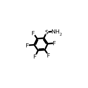 NSc1c(F)c(F)c(F)c(F)c1F